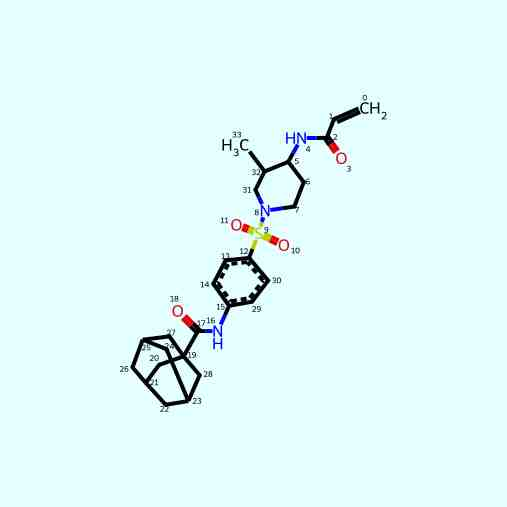 C=CC(=O)NC1CCN(S(=O)(=O)c2ccc(NC(=O)C34CC5CC(CC(C5)C3)C4)cc2)CC1C